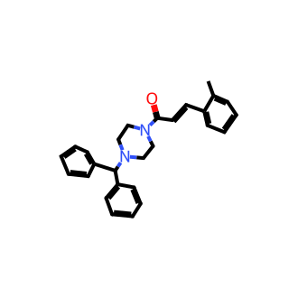 Cc1ccccc1C=CC(=O)N1CCN(C(c2ccccc2)c2ccccc2)CC1